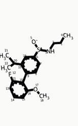 CCCN[S+]([O-])c1ccc(-c2c(F)cccc2OC)c(C(C)C)c1